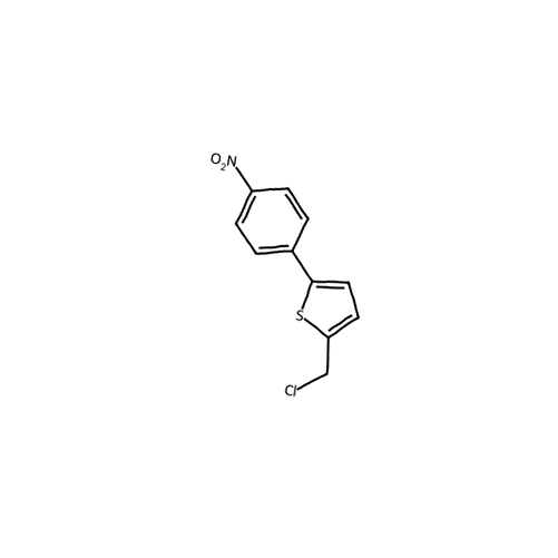 O=[N+]([O-])c1ccc(-c2ccc(CCl)s2)cc1